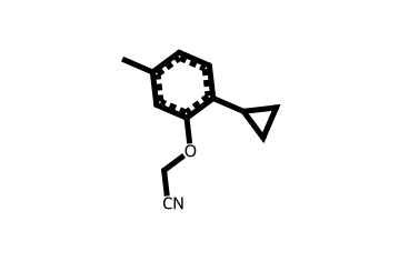 Cc1ccc(C2CC2)c(OCC#N)c1